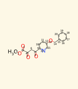 COC(=O)C(=O)CC(=O)c1ccc(OCc2ccccc2)cn1